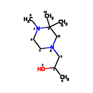 CC(O)CN1CCN(C)C(C)(C)C1